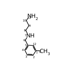 Cc1cccc(CNCCCN)c1